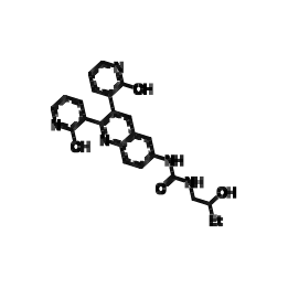 CCC(O)CNC(=O)Nc1ccc2nc(-c3cccnc3O)c(-c3cccnc3O)cc2c1